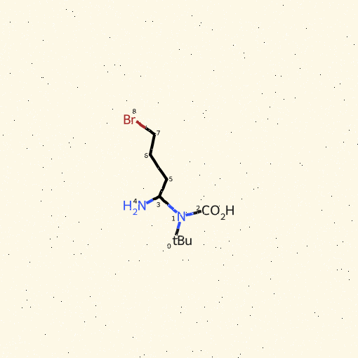 CC(C)(C)N(C(=O)O)C(N)CCCBr